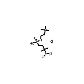 CC(C)(CCP(=O)(O)OCC[N+](C)(C)C)N(Cl)Cl.[Cl-]